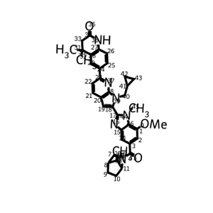 COc1cc(C(=O)N2CC3CCC2[C@@H]3C)cc2nc(-c3cc4ccc(-c5ccc6c(c5)C(C)(C)CC(=O)N6)nc4n3CC3CC3)n(C)c12